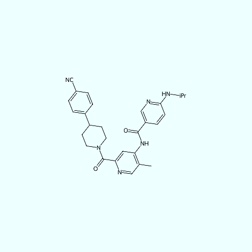 Cc1cnc(C(=O)N2CCC(c3ccc(C#N)cc3)CC2)cc1NC(=O)c1ccc(NC(C)C)nc1